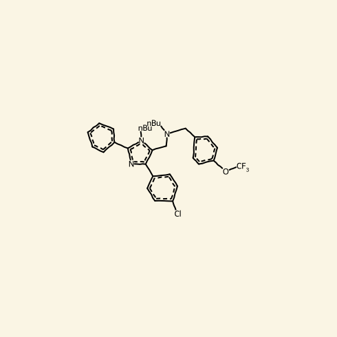 CCCCN(Cc1ccc(OC(F)(F)F)cc1)Cc1c(-c2ccc(Cl)cc2)nc(-c2ccccc2)n1CCCC